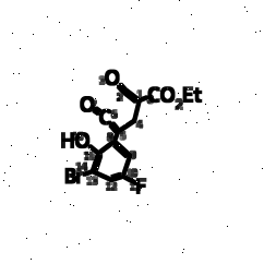 CCOC(=O)C(=C=O)CC(=C=O)c1cc(F)cc(Br)c1O